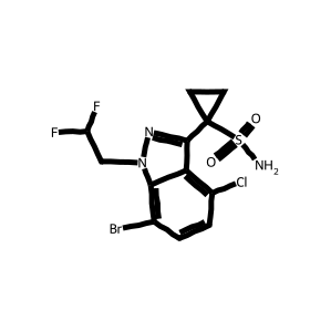 NS(=O)(=O)C1(c2nn(CC(F)F)c3c(Br)ccc(Cl)c23)CC1